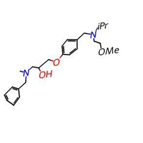 COCCN(Cc1ccc(OCC(O)CN(C)Cc2ccccc2)cc1)C(C)C